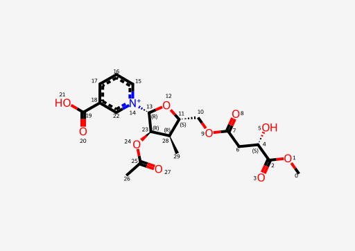 COC(=O)[C@@H](O)CC(=O)OC[C@H]1O[C@@H]([n+]2cccc(C(=O)O)c2)[C@H](OC(C)=O)[C@@H]1C